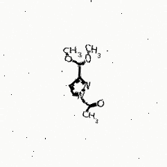 COC(OC)c1ccn(C(C)=O)n1